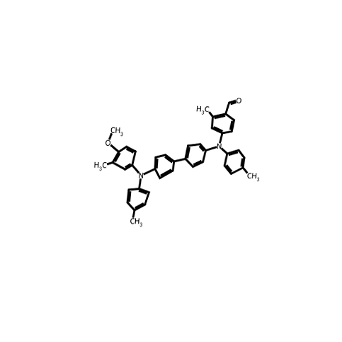 COc1ccc(N(c2ccc(C)cc2)c2ccc(-c3ccc(N(c4ccc(C)cc4)c4ccc(C=O)c(C)c4)cc3)cc2)cc1C